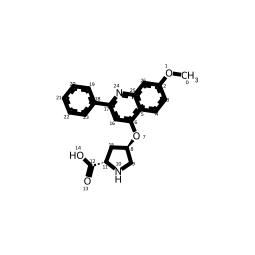 COc1ccc2c(O[C@H]3CN[C@H](C(=O)O)C3)cc(-c3ccccc3)nc2c1